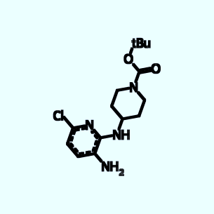 CC(C)(C)OC(=O)N1CCC(Nc2nc(Cl)ccc2N)CC1